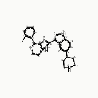 Fc1ccccc1-c1nccc2[nH]c(-c3n[nH]c4ccc(C5CCNCC5)cc34)nc12